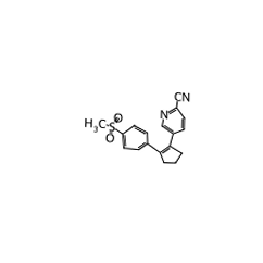 CS(=O)(=O)c1ccc(C2=C(c3ccc(C#N)nc3)CCC2)cc1